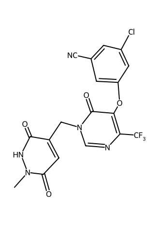 Cn1[nH]c(=O)c(Cn2cnc(C(F)(F)F)c(Oc3cc(Cl)cc(C#N)c3)c2=O)cc1=O